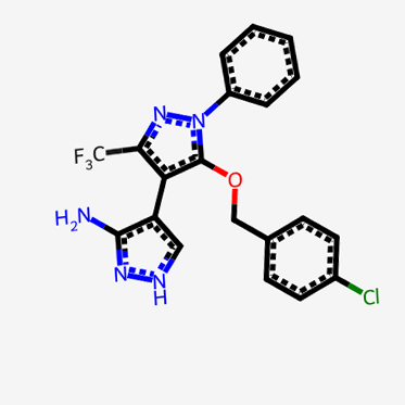 Nc1n[nH]cc1-c1c(C(F)(F)F)nn(-c2ccccc2)c1OCc1ccc(Cl)cc1